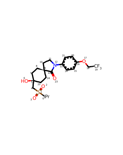 CC(C)S(=O)(=O)C[C@]1(O)CC[C@]2(CCN(c3ccc(OCC(F)(F)F)cc3)C2=O)CC1